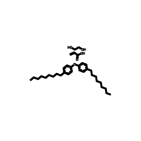 C=CC(=O)O.CCCCCCCCCc1ccc(Oc2ccc(CCCCCCCCC)cc2)cc1.OCCO